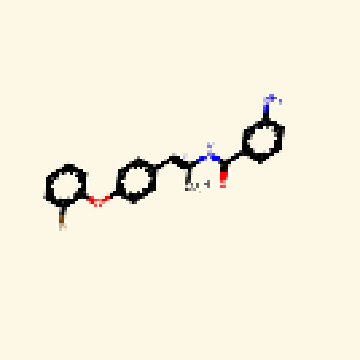 Nc1cccc(C(=O)N/C(=C/c2ccc(Oc3ccccc3Br)cc2)C(=O)O)c1